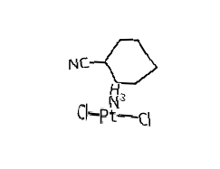 N.N#CC1CCCCC1.[Cl][Pt][Cl]